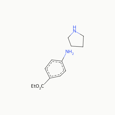 C1CCNC1.CCOC(=O)c1ccc(N)cc1